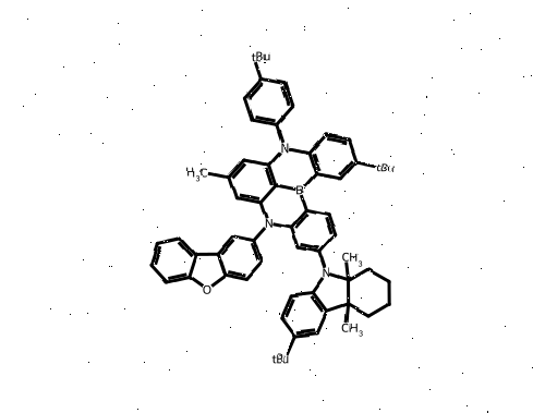 Cc1cc2c3c(c1)N(c1ccc4oc5ccccc5c4c1)c1cc(N4c5ccc(C(C)(C)C)cc5C5(C)CCCCC45C)ccc1B3c1cc(C(C)(C)C)ccc1N2c1ccc(C(C)(C)C)cc1